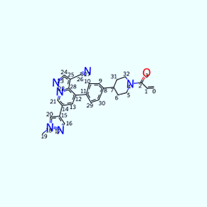 C=CC(=O)N1CCC(c2ccc(-c3cc(-c4cnn(C)c4)cn4ncc(C#N)c34)cc2)CC1